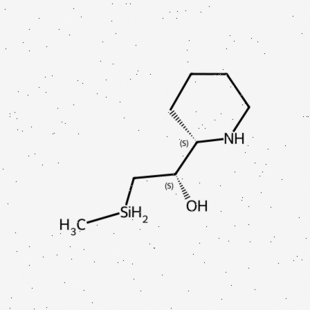 C[SiH2]C[C@@H](O)[C@@H]1CCCCN1